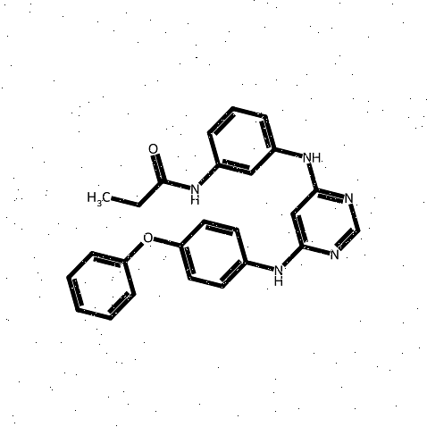 CCC(=O)Nc1cccc(Nc2cc(Nc3ccc(Oc4ccccc4)cc3)ncn2)c1